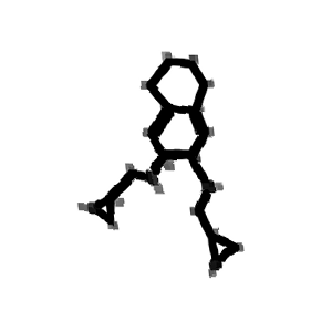 c1c2c(cc(OCC3CO3)c1OCC1CO1)CCCC2